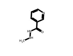 CBNC(=O)c1cccnc1